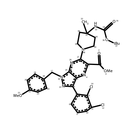 COC(=O)c1nc2c(-c3cccc(Cl)c3Cl)nn(Cc3ccc(OC)cc3)c2nc1N1CCC(C)(NC(=O)OC(C)(C)C)CC1